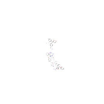 CCN1CCN(c2ccc(C(=O)NC3(C(=O)N[C@@H](CCCCNC(=O)c4ccc5c(c4)C(=O)OC54c5ccc(N(C)C)cc5Oc5cc(N(C)C)ccc54)C(=O)NCCNC(=O)c4ccc(-c5c6ccc(=O)cc-6oc6cc(O)ccc56)c(C=O)c4)CCCCC3)cc2)CC1